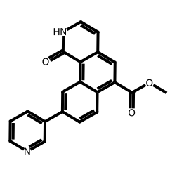 COC(=O)c1cc2cc[nH]c(=O)c2c2cc(-c3cccnc3)ccc12